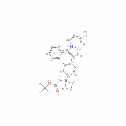 CC(C)(C)OC(=O)NC1(c2ccc(-c3nc4cc(Cl)ccn4c3-c3ccccc3)cc2)CCC1